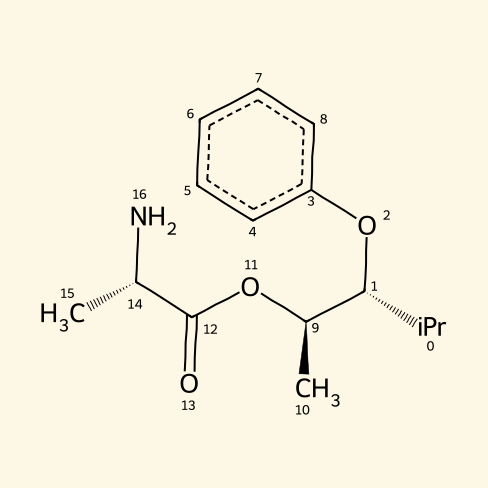 CC(C)[C@@H](Oc1ccccc1)[C@@H](C)OC(=O)[C@H](C)N